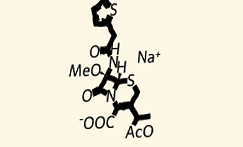 CO[C@@]1(NC(=O)Cc2cccs2)C(=O)N2C(C(=O)[O-])=C(C(C)OC(C)=O)CS[C@H]21.[Na+]